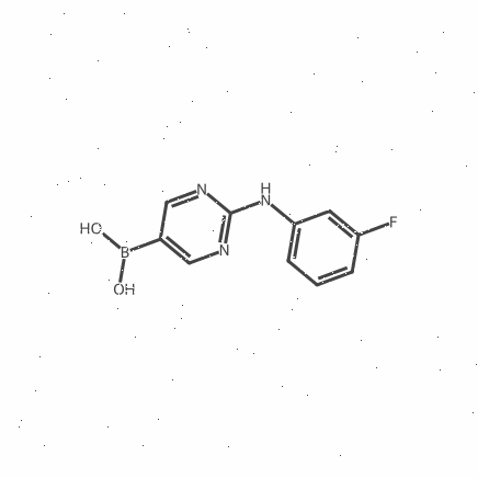 OB(O)c1cnc(Nc2cccc(F)c2)nc1